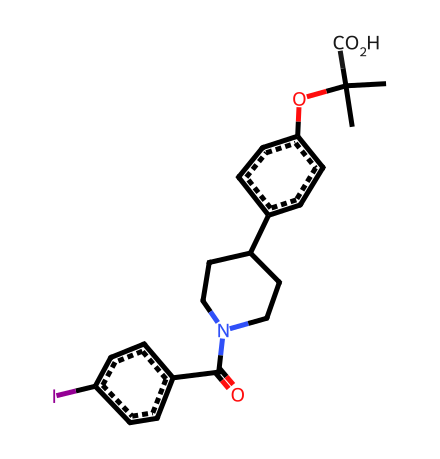 CC(C)(Oc1ccc(C2CCN(C(=O)c3ccc(I)cc3)CC2)cc1)C(=O)O